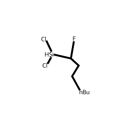 CCCCCCC(F)[SiH](Cl)Cl